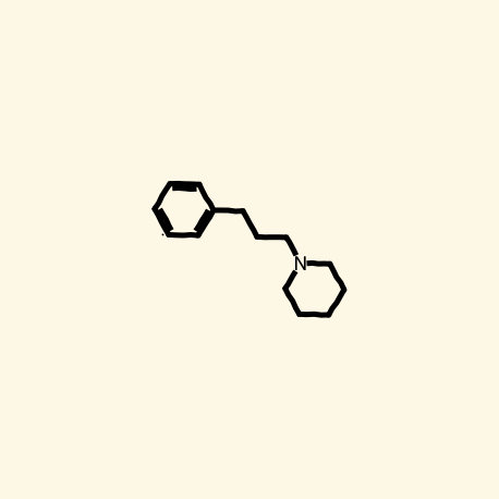 [c]1cccc(CCCN2CCCCC2)c1